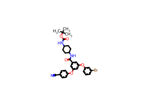 CC(C)(C)OC(=O)NC1CCC(NC(=O)c2cc(Oc3ccc(C#N)cc3)cc(Oc3cccc(Br)c3)c2)CC1